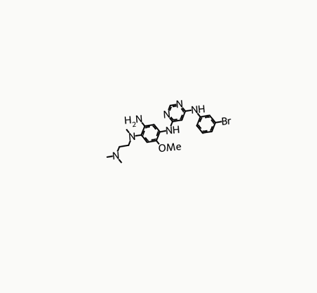 COc1cc(N(C)CCN(C)C)c(N)cc1Nc1cc(Nc2cccc(Br)c2)ncn1